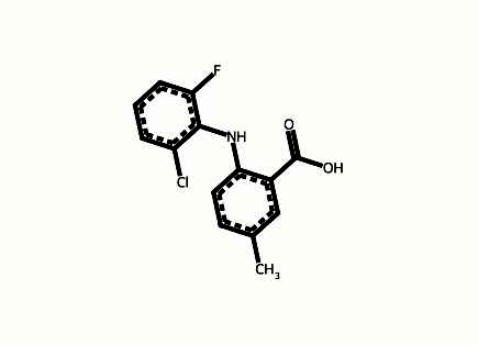 Cc1ccc(Nc2c(F)cccc2Cl)c(C(=O)O)c1